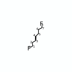 FCCC=CCCCF